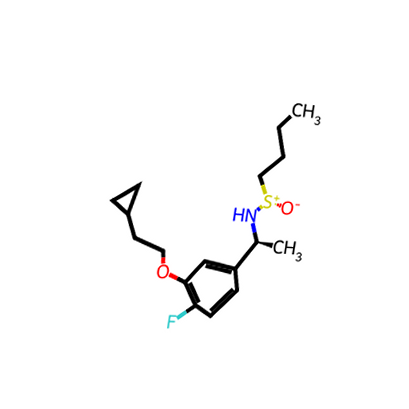 CCCC[S@+]([O-])N[C@@H](C)c1ccc(F)c(OCCC2CC2)c1